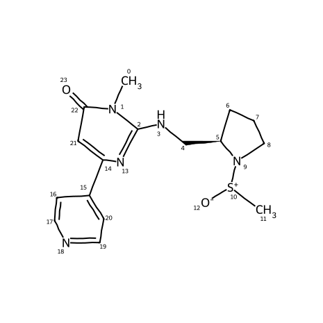 Cn1c(NC[C@H]2CCCN2[S+](C)[O-])nc(-c2ccncc2)cc1=O